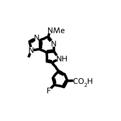 CNc1nc2[nH]c(-c3cc(F)cc(C(=O)O)c3)cc2c2c1ncn2C